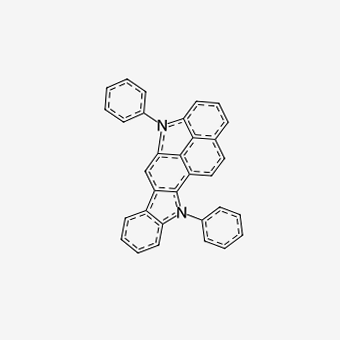 c1ccc(-n2c3cccc4ccc5c(c43)c2cc2c3ccccc3n(-c3ccccc3)c25)cc1